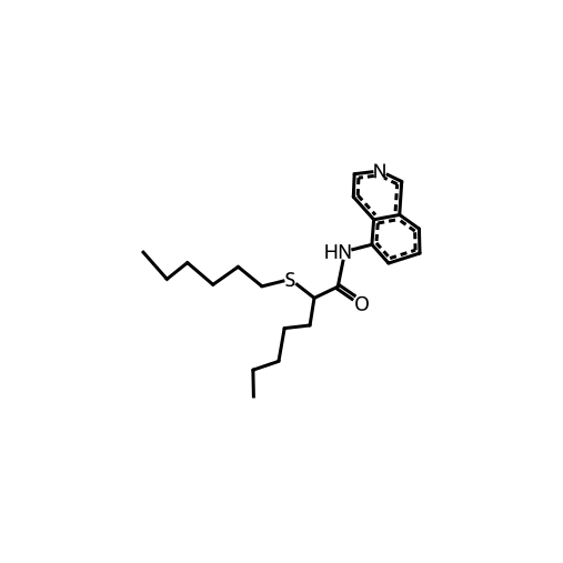 CCCCCCSC(CCCCC)C(=O)Nc1cccc2cnccc12